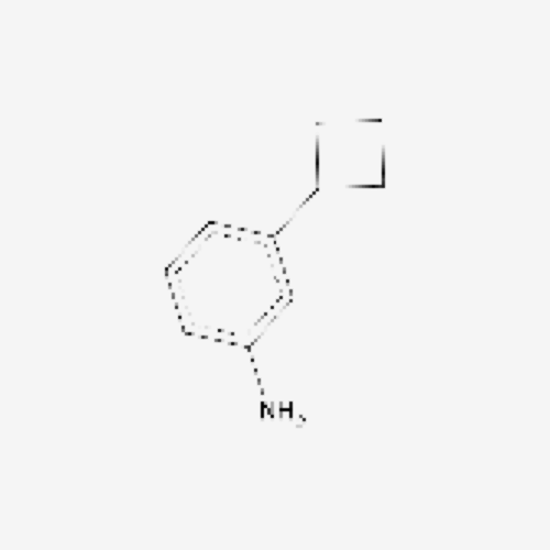 Nc1cccc(C2CCC2)c1